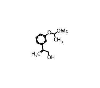 C=C(CO)c1cccc(OC(C)OC)c1